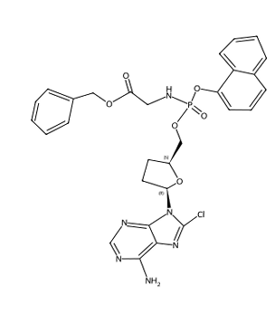 Nc1ncnc2c1nc(Cl)n2[C@H]1CC[C@@H](COP(=O)(NCC(=O)OCc2ccccc2)Oc2cccc3ccccc23)O1